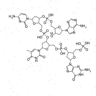 Cc1cn(C2CC(OP(=O)(O)OCC3OC(n4ccc(N)nc4=O)CC3OP(=O)(O)OCC3OC(n4cnc5c(N)ncnc54)CC3O)C(COP(=O)(O)OC3CC(n4cnc5c(=O)[nH]c(N)nc54)OC3COP(=O)(O)O)O2)c(=O)[nH]c1=O